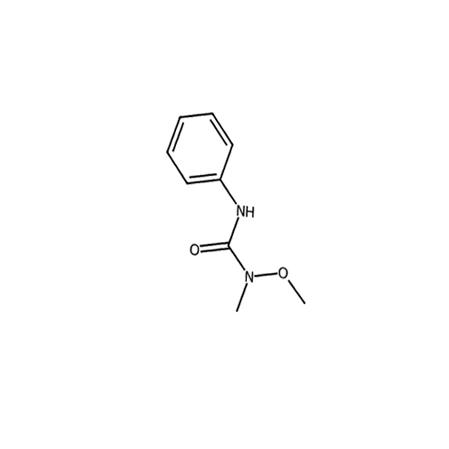 CON(C)C(=O)Nc1ccccc1